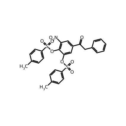 Cc1ccc(S(=O)(=O)Oc2cc(C(=O)Cc3ccccc3)cc([N+](=O)[O-])c2OS(=O)(=O)c2ccc(C)cc2)cc1